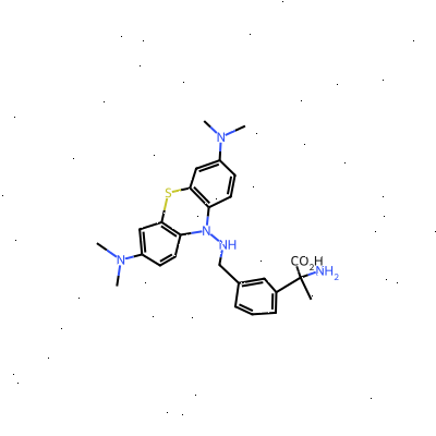 CN(C)c1ccc2c(c1)Sc1cc(N(C)C)ccc1N2NCc1cccc(C(C)(N)C(=O)O)c1